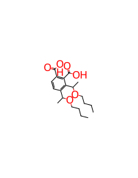 CCCCOC(C)c1ccc(C(=O)O)c(C(=O)O)c1C(C)OCCCC